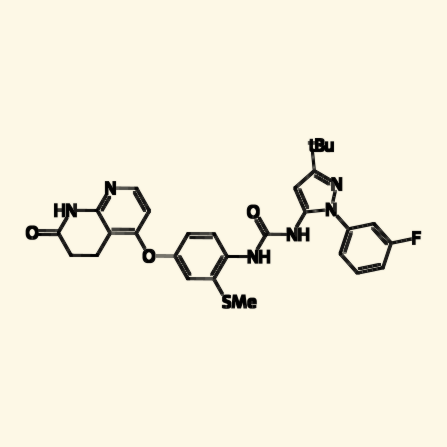 CSc1cc(Oc2ccnc3c2CCC(=O)N3)ccc1NC(=O)Nc1cc(C(C)(C)C)nn1-c1cccc(F)c1